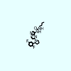 CCCCNC(=O)Nc1cnn2ccc(N3CCCC3c3cc(F)ccc3F)nc12